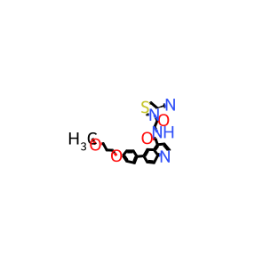 COCCCOc1ccc(-c2ccc3nccc(C(=O)NCC(=O)N4CSC[C@H]4C#N)c3c2)cc1